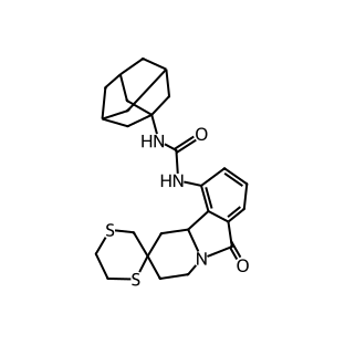 O=C(Nc1cccc2c1C1CC3(CCN1C2=O)CSCCS3)NC12CC3CC(CC(C3)C1)C2